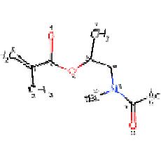 C=C(C)C(=O)OC(C)CN(C(=O)C(C)=O)C(C)(C)C